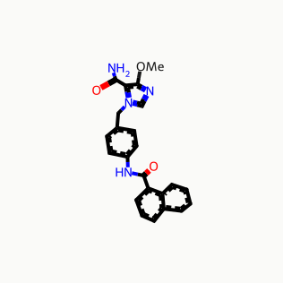 COc1ncn(Cc2ccc(NC(=O)c3cccc4ccccc34)cc2)c1C(N)=O